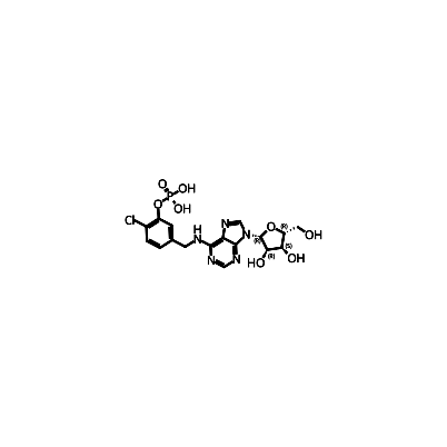 O=P(O)(O)Oc1cc(CNc2ncnc3c2ncn3[C@@H]2O[C@H](CO)[C@@H](O)[C@H]2O)ccc1Cl